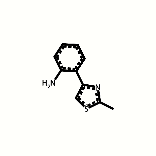 Cc1nc(-c2ccccc2N)cs1